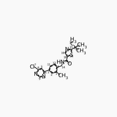 Cc1cc(-c2cc(Cl)ncn2)ccc1CNC(=O)c1cnc(C(C)(C)C)s1